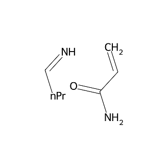 C=CC(N)=O.CCCC=N